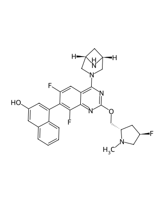 CN1C[C@H](F)C[C@H]1COc1nc(N2C[C@H]3C[C@@H](C2)N3)c2cc(F)c(-c3cc(O)cc4ccccc34)c(F)c2n1